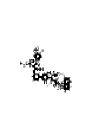 COc1cccc(NC(=O)C(OC(C)C)C(N)CC2CCCC(C3CCC(C[C@@H](N)C(OC(C)(C)C)C(=O)NC(C)c4cccc5ccccc45)CC3)C2)c1